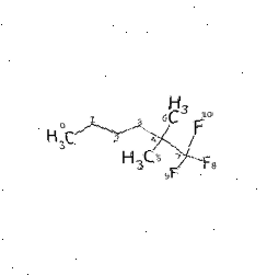 CCCCC(C)(C)C(F)(F)F